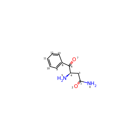 NC(=O)C[C@@H](N)C(=O)c1ccccc1